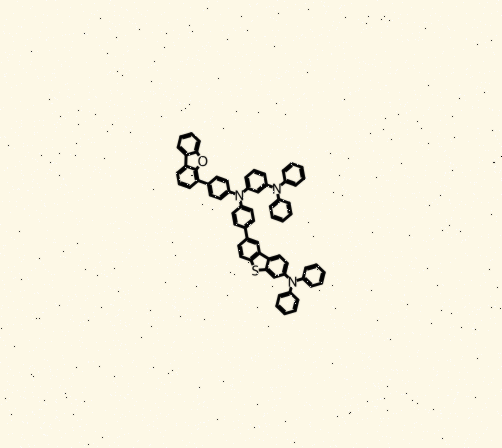 c1ccc(N(c2ccccc2)c2cccc(N(c3ccc(-c4ccc5sc6cc(N(c7ccccc7)c7ccccc7)ccc6c5c4)cc3)c3ccc(-c4cccc5c4oc4ccccc45)cc3)c2)cc1